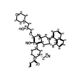 C=CC(=O)N1CCN(c2c(C#N)c(OC[C@H](O)CN3CCOCC3)nc3c2CCN(c2cccc4cccc(C)c24)C3)C[C@@H]1CC#N